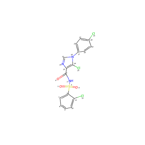 O=C(NS(=O)(=O)c1ccccc1Cl)c1ncn(-c2ccc(Cl)cc2)c1Cl